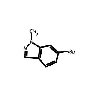 CC[C@H](C)c1ccc2cnn(C)c2c1